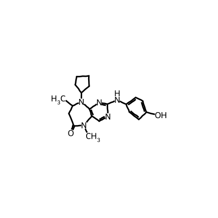 CC1CC(=O)N(C)c2cnc(Nc3ccc(O)cc3)nc2N1C1CCCC1